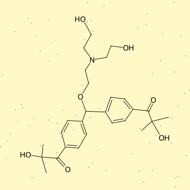 CC(C)(O)C(=O)c1ccc(C(OCCN(CCO)CCO)c2ccc(C(=O)C(C)(C)O)cc2)cc1